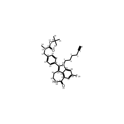 C#CCCCCn1c(-c2ccc(CN(C)C(=O)OC(C)(C)C)cc2)c2c3c(cc(F)cc31)C(=O)NCC2